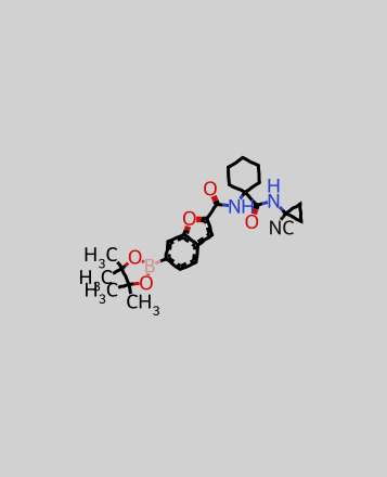 CC1(C)OB(c2ccc3cc(C(=O)NC4(C(=O)NC5(C#N)CC5)CCCCC4)oc3c2)OC1(C)C